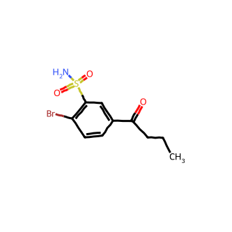 CCCC(=O)c1ccc(Br)c(S(N)(=O)=O)c1